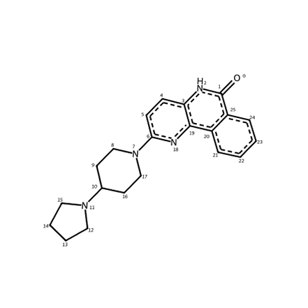 O=c1[nH]c2ccc(N3CCC(N4CCCC4)CC3)nc2c2ccccc12